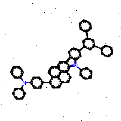 c1ccc(-c2cc(-c3ccccc3)cc(-c3ccc4c5cc6ccc7c(-c8ccc(N(c9ccccc9)c9ccccc9)cc8)ccc8ccc(c6c87)c5n(-c5ccccc5)c4c3)c2)cc1